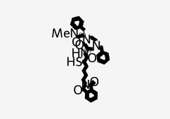 CNC(=O)[C@H](Cc1ccccc1)N1CCN(Cc2ccccc2)C[C@H](NC(=O)C(S)CCCCN2C(=O)c3ccccc3C2=O)C1=O